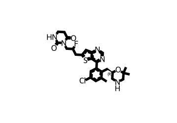 Cc1cc(Cl)cc(-c2ncnc3cc(CC(F)CN4C(=O)CCNC4=O)sc23)c1C[C@@H]1CNCC(C)(C)O1